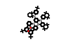 CC(C)(C)c1ccc2c(c1)C1(C)CCCCC1(C)N2c1cc2c3c(c1)N(c1cccc4c1oc1ccc(C(C)(C)C)cc14)c1c(ccc4c1sc1ccc(C(C)(C)C)cc14)B3c1cc3c(cc1N2c1ccc2c(c1)C(C)(C)CCC2(C)C)C(C)(C)CCC3(C)C